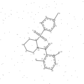 Cc1ccc(S(=O)(=O)C2CCCCN2C(=O)c2c(C)cccc2F)cc1